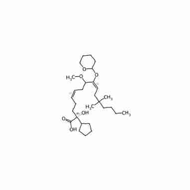 CCCCC(C)(C)C/C=C(/OC1CCCCO1)C(C/C=C\CC[C@](O)(C(=O)O)C1CCCC1)OC